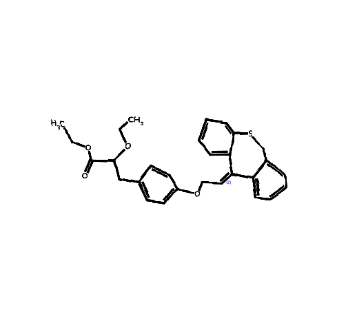 CCOC(=O)C(Cc1ccc(OC/C=C2/c3ccccc3CSc3ccccc32)cc1)OCC